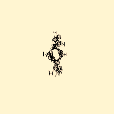 Nc1ncnc2c1ncn2C1C[C@@H]2OP(=O)(O)OCC3OC(N4CNc5c4nc[nH]c5=O)C(OP(=O)(O)OCC2O1)C3F